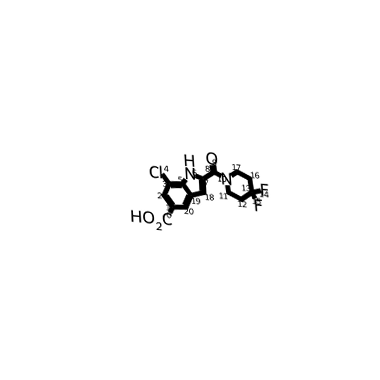 O=C(O)c1cc(Cl)c2[nH]c(C(=O)N3CCC(F)(F)CC3)cc2c1